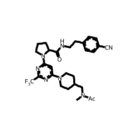 CC(=O)N(C)CC1CCN(c2cc(N3CCCC3C(=O)NCCc3ccc(C#N)cc3)nc(C(F)(F)F)n2)CC1